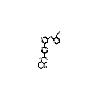 CCOc1cccnc1Oc1cncc(-c2ncc(C(=O)NC3CCCNC3C)cn2)c1